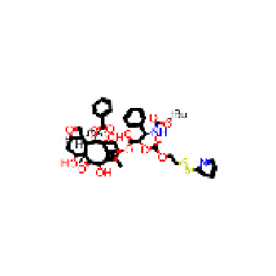 CC(=O)O[C@@]12CO[C@@H]1C[C@H](O)[C@@]1(C)C(=O)[C@H](O)C3=C(C)[C@@H](OC(=O)[C@H](OC(=O)OCCSSc4ccccn4)[C@@H](NC(=O)OC(C)(C)C)c4ccccc4)C[C@@](O)([C@@H](OC(=O)c4ccccc4)[C@H]21)C3(C)C